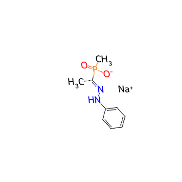 C/C(=N\Nc1ccccc1)P(C)(=O)[O-].[Na+]